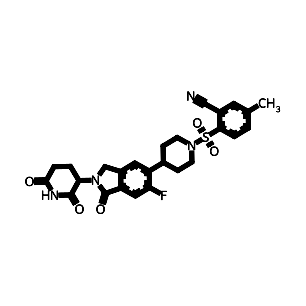 Cc1ccc(S(=O)(=O)N2CCC(c3cc4c(cc3F)C(=O)N(C3CCC(=O)NC3=O)C4)CC2)c(C#N)c1